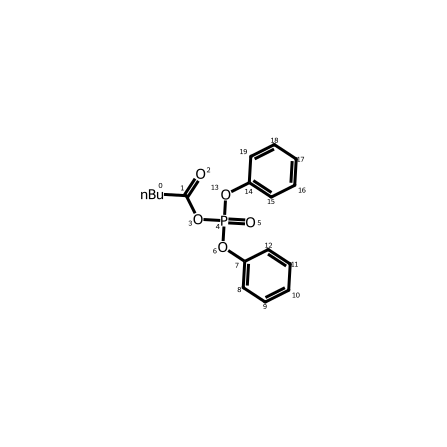 CCCCC(=O)OP(=O)(Oc1ccccc1)Oc1ccccc1